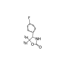 [2H]C1([2H])OC(=O)NC1c1ccc(F)cc1